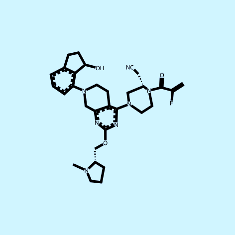 C=C(F)C(=O)N1CCN(c2nc(OC[C@@H]3CCCN3C)nc3c2CCN(c2cccc4c2C(O)CC4)C3)C[C@@H]1CC#N